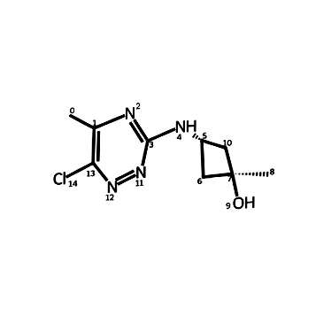 Cc1nc(N[C@H]2C[C@](C)(O)C2)nnc1Cl